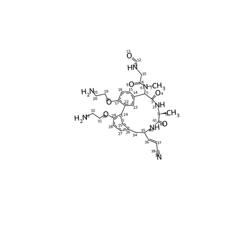 C[C@@H]1NC(=O)C(N(C)C(=O)CNC=O)c2ccc(OCCN)c(c2)-c2cc(ccc2OCCN)CC(/C=C/C#N)NC1=O